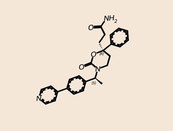 C[C@@H](c1ccc(-c2ccncc2)cc1)N1CC[C@](CCC(N)=O)(c2ccccc2)OC1=O